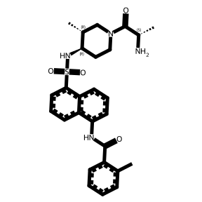 Cc1ccccc1C(=O)Nc1cccc2c(S(=O)(=O)N[C@@H]3CCN(C(=O)[C@H](C)N)C[C@H]3C)cccc12